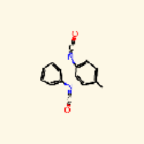 Cc1ccc(N=C=O)cc1.O=C=Nc1ccccc1